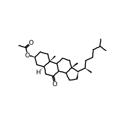 CC(=O)O[C@H]1CC[C@]2(C)C3CC[C@@]4(C)C(CC[C@@H]4[C@H](C)CCCC(C)C)C3C(=O)C[C@H]2C1